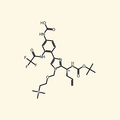 C=CC[C@H](NC(=O)OC(C)(C)C)c1nc(-c2ccc(NC(=O)O)cc2NC(=O)C(F)(F)F)cn1COCC[Si](C)(C)C